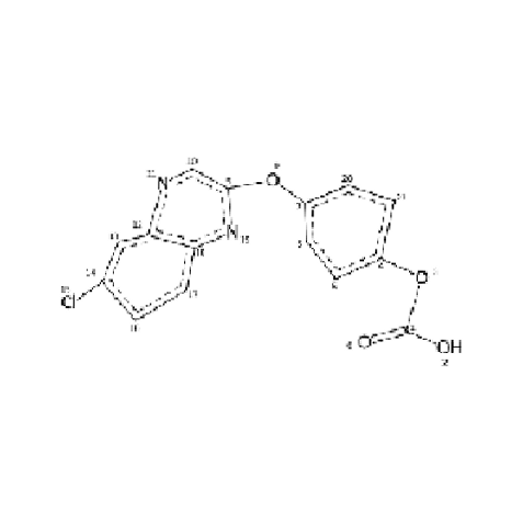 O=C(O)Oc1ccc(Oc2cnc3cc(Cl)ccc3n2)cc1